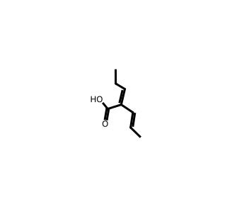 CC=CC(=CCC)C(=O)O